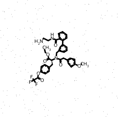 CCOC(=O)[C@H](Cc1ccc(OC(=O)C(F)(F)F)cc1)N(Cc1cccc(-c2ccccc2C(=O)NCCN)c1)C(=O)Cc1ccc(OC)cc1